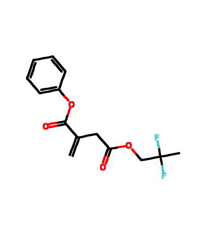 C=C(CC(=O)OCC(C)(F)F)C(=O)Oc1ccccc1